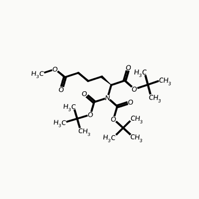 COC(=O)CCC[C@@H](C(=O)OC(C)(C)C)N(C(=O)OC(C)(C)C)C(=O)OC(C)(C)C